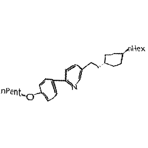 CCCCCC[C@H]1CC[C@H](CCc2ccc(-c3ccc(OCCCCC)cc3)nc2)CC1